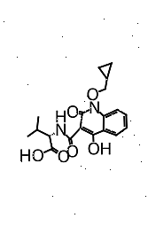 CC(C)[C@H](NC(=O)c1c(O)c2ccccc2n(OCC2CC2)c1=O)C(=O)O